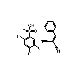 N#CC(C#N)=Cc1ccccc1.O=S(=O)(O)c1cc(Cl)c(Cl)cc1Cl